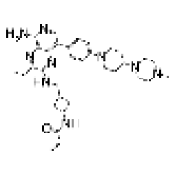 C=CC(=O)NC1CC(CNc2nc3c(-c4ccc(N5CCC(N6CCN(C)CC6)CC5)cc4)cnc(N)c3nc2CC)C1